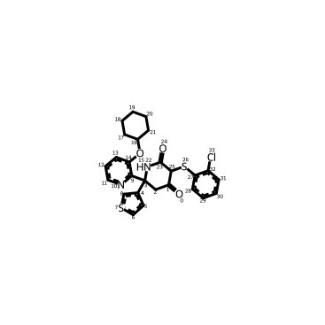 O=C1CC(c2ccsc2)(c2ncccc2OC2CCCCC2)NC(=O)C1Sc1ccccc1Cl